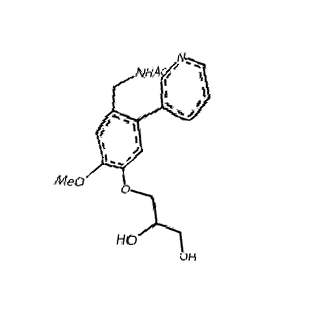 COc1cc(CNC(C)=O)c(-c2cccnc2)cc1OCC(O)CO